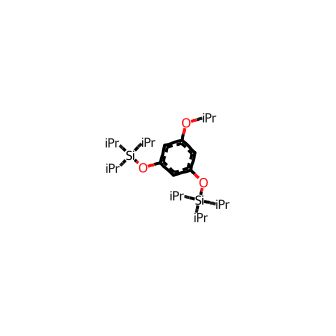 CC(C)Oc1cc(O[Si](C(C)C)(C(C)C)C(C)C)cc(O[Si](C(C)C)(C(C)C)C(C)C)c1